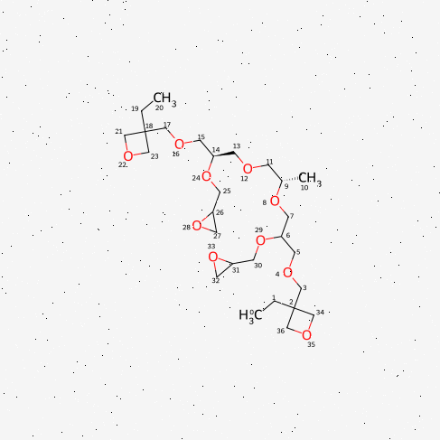 CCC1(COCC(CO[C@@H](C)COC[C@H](COCC2(CC)COC2)OCC2CO2)OCC2CO2)COC1